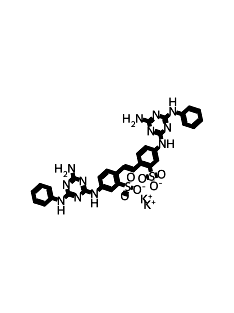 Nc1nc(Nc2ccccc2)nc(Nc2ccc(C=Cc3ccc(Nc4nc(N)nc(Nc5ccccc5)n4)cc3S(=O)(=O)[O-])c(S(=O)(=O)[O-])c2)n1.[K+].[K+]